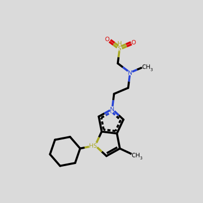 CC1=C[SH](C2CCCCC2)c2cn(CCN(C)C[SH](=O)=O)cc21